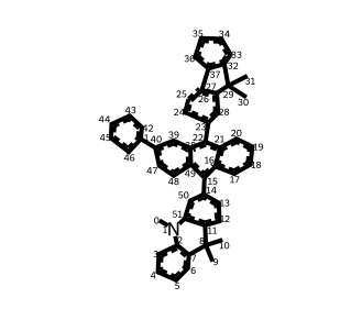 CN1c2ccccc2C(C)(C)c2ccc(-c3c4ccccc4c(-c4ccc5c(c4)C(C)(C)c4ccccc4-5)c4cc(-c5ccccc5)ccc34)cc21